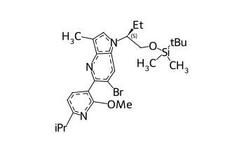 CC[C@@H](CO[Si](C)(C)C(C)(C)C)n1cc(C)c2nc(-c3ccc(C(C)C)nc3OC)c(Br)cc21